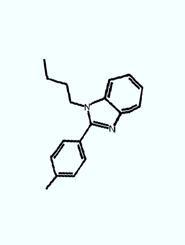 CCCCn1c(-c2ccc(C)cc2)nc2ccccc21